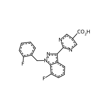 O=C(O)c1cnc(-c2nn(Cc3ccccc3F)c3c(F)cccc23)nc1